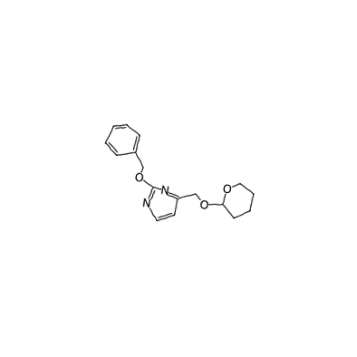 c1ccc(COc2nccc(COC3CCCCO3)n2)cc1